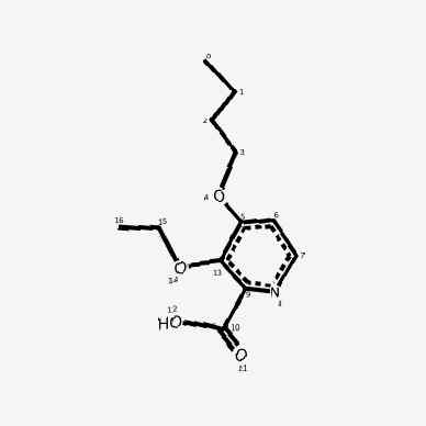 CCCCOc1ccnc(C(=O)O)c1OCC